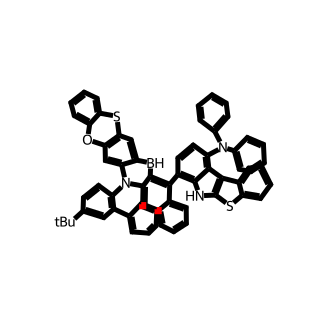 CC(C)(C)c1ccc(N2c3cc4c(cc3Bc3c2cc2ccccc2c3-c2ccc(N(c3ccccc3)c3ccccc3)c3c2[nH]c2sc5ccccc5c23)Sc2ccccc2O4)c(-c2ccccc2)c1